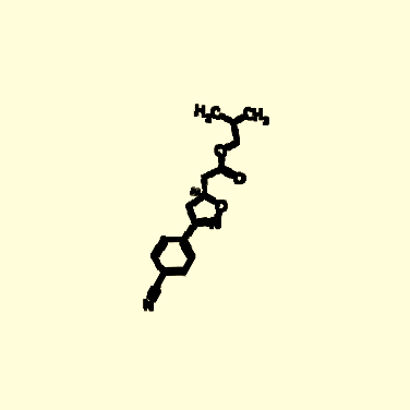 CC(C)COC(=O)C[C@@H]1CC(c2ccc(C#N)cc2)=NO1